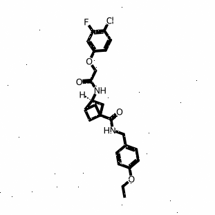 CCOc1ccc(CNC(=O)C23CC(C2)[C@@H](NC(=O)COc2ccc(Cl)c(F)c2)C3)cc1